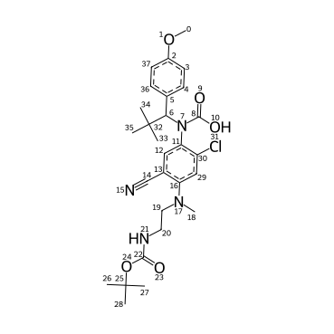 COc1ccc(C(N(C(=O)O)c2cc(C#N)c(N(C)CCNC(=O)OC(C)(C)C)cc2Cl)C(C)(C)C)cc1